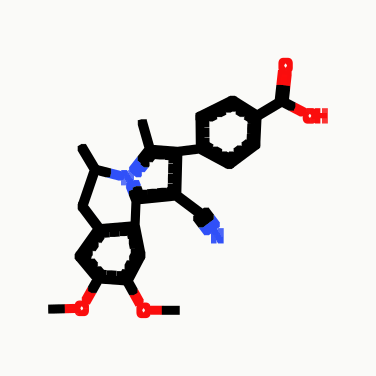 COc1cc2c(cc1OC)-c1c(C#N)c(-c3ccc(C(=O)O)cc3)c(C)n1C(C)C2